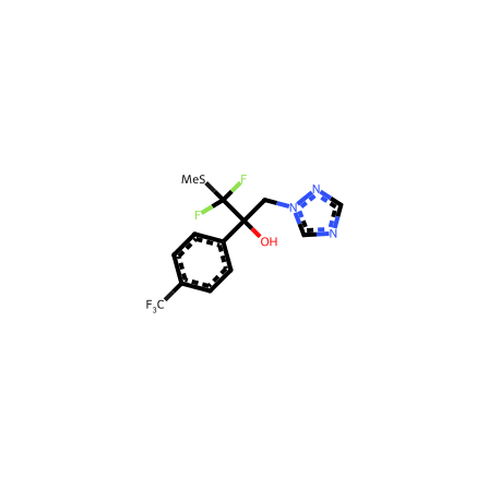 CSC(F)(F)C(O)(Cn1cncn1)c1ccc(C(F)(F)F)cc1